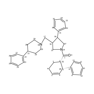 O=C([C@H]1CCC=C[C@H]1c1ccccc1)N1CC(CN2CCC(c3ccccc3)CC2)C(c2ccccc2)C1